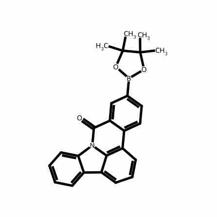 CC1(C)OB(c2ccc3c(c2)c(=O)n2c4ccccc4c4cccc3c42)OC1(C)C